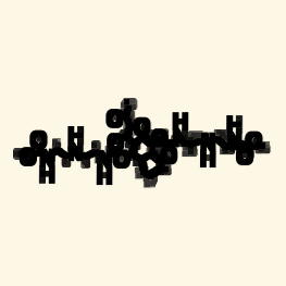 COC(=O)NCCNCCNC(=O)Oc1c2ccccc2c(OC(=O)NCCNCCNC(=O)OC)c2oc(C(C)=O)cc12